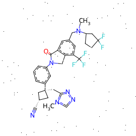 CN(Cc1cc2c(c(C(F)(F)F)c1)CN(c1cccc([C@]3(Cc4nncn4C)C[C@@H](C#N)C3)c1)C2=O)C1CCC(F)(F)C1